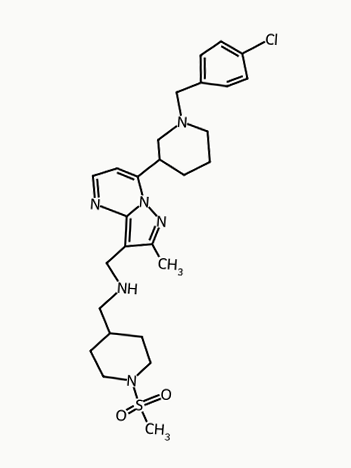 Cc1nn2c(C3CCCN(Cc4ccc(Cl)cc4)C3)ccnc2c1CNCC1CCN(S(C)(=O)=O)CC1